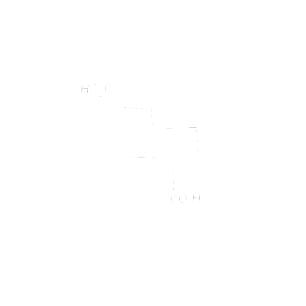 O=C(O)C1CC2CC1=C1CCC(C(=O)O)C12